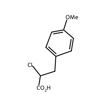 COc1ccc(CC(Cl)C(=O)O)cc1